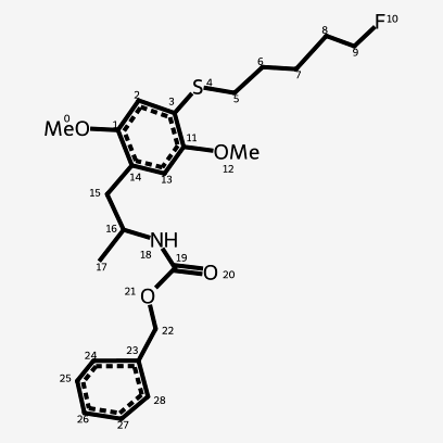 COc1cc(SCCCCCF)c(OC)cc1CC(C)NC(=O)OCc1ccccc1